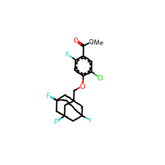 COC(=O)c1cc(Cl)c(OCC23CC4(F)CC(F)(CC(F)(C4)C2)C3)cc1F